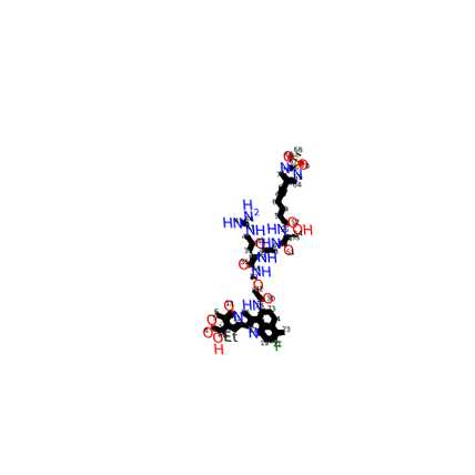 CC[C@@]1(O)C(=O)OCc2c1cc1n(c2=O)Cc2c-1nc1cc(F)c(C)c3c1c2[C@@H](NC(=O)COCNC(=O)[C@H](CCCNC(=N)N)NC(=O)CNC(=O)[C@H](CO)NC(=O)CCCC#Cc1cnc(S(C)(=O)=O)nc1)CC3